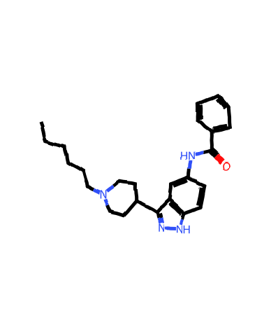 CCCCCCN1CCC(c2n[nH]c3ccc(NC(=O)c4ccccc4)cc23)CC1